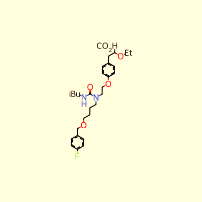 CCOC(Cc1ccc(OCCN(CCCCOCc2ccc(F)cc2)C(=O)NC(C)CC)cc1)C(=O)O